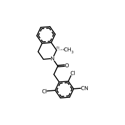 C[C@H]1c2ccccc2CCN1C(=O)Cc1c(Cl)ccc(C#N)c1Cl